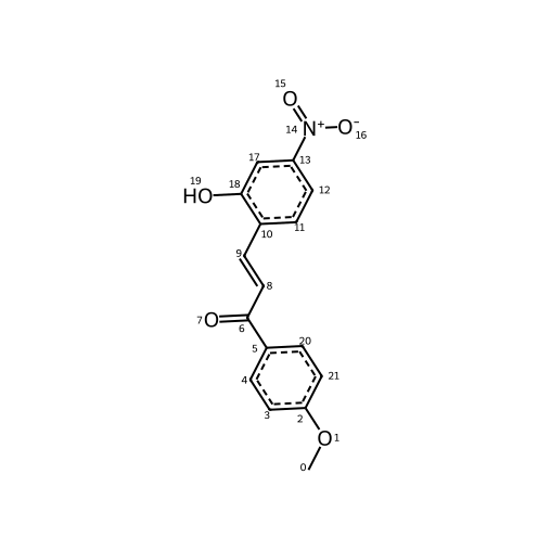 COc1ccc(C(=O)/C=C/c2ccc([N+](=O)[O-])cc2O)cc1